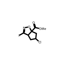 COC(=O)C12CC(Cl)CC1C(I)=NO2